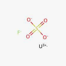 O=S(=O)([O-])[O-].[F-].[U+3]